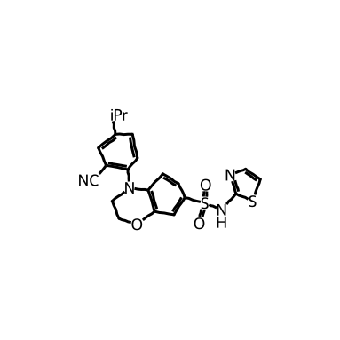 CC(C)c1ccc(N2CCOc3cc(S(=O)(=O)Nc4nccs4)ccc32)c(C#N)c1